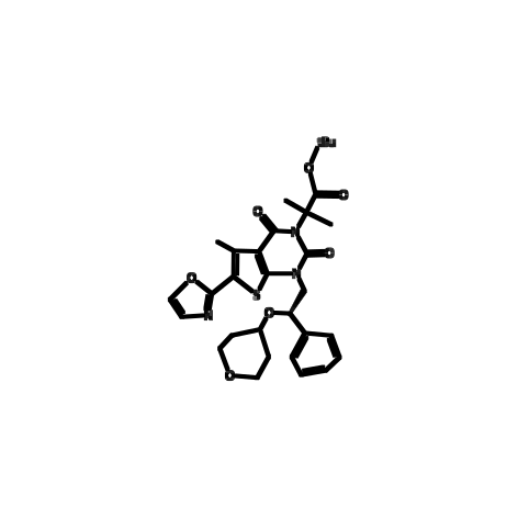 Cc1c(-c2ncco2)sc2c1c(=O)n(C(C)(C)C(=O)OC(C)(C)C)c(=O)n2C[C@H](OC1CCOCC1)c1ccccc1